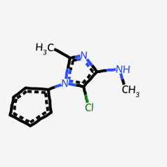 CNc1nc(C)n(-c2ccccc2)c1Cl